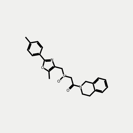 Cc1ccc(-c2nc(C[S+]([O-])CC(=O)N3CCc4ccccc4C3)c(C)o2)cc1